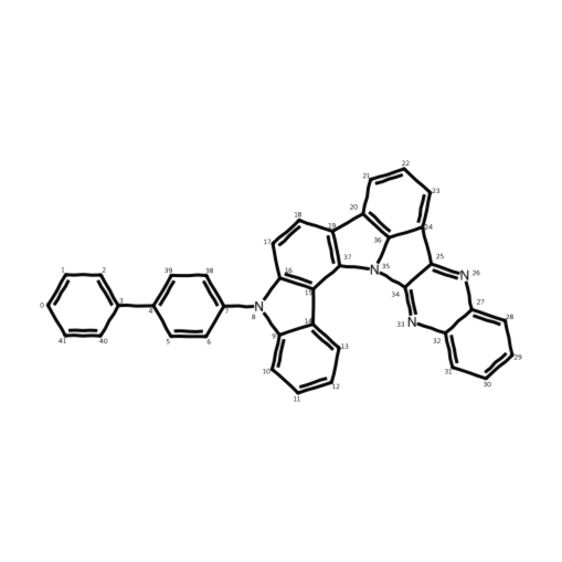 c1ccc(-c2ccc(-n3c4ccccc4c4c3ccc3c5cccc6c7nc8ccccc8nc7n(c56)c34)cc2)cc1